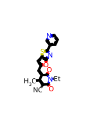 CCN1C(=O)C(C#N)=C(C)/C(=C/c2cc3sc(-c4cccnc4)nc3o2)C1=O